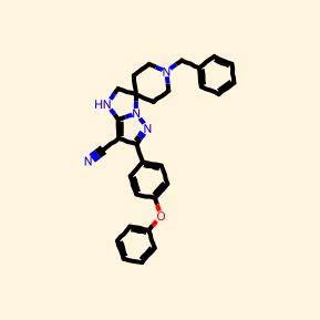 N#Cc1c(-c2ccc(Oc3ccccc3)cc2)nn2c1NCC21CCN(Cc2ccccc2)CC1